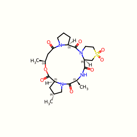 C[C@@H]1C[C@H]2C(=O)O[C@@H](C)CC(=O)N3CCC[C@H]3C(=O)N3CCS(=O)(=O)C[C@H]3C(=O)N[C@@H](C)C(=O)N2C1